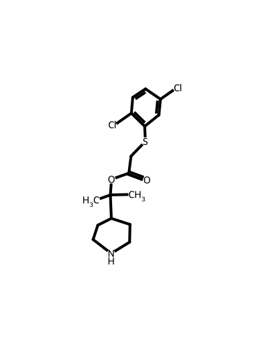 CC(C)(OC(=O)CSc1cc(Cl)ccc1Cl)C1CCNCC1